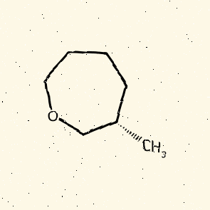 C[C@H]1CCCCOC1